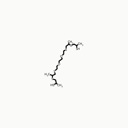 CC(S)CSC(C)CSCCOCCOCCSCC(C)SCC(C)S